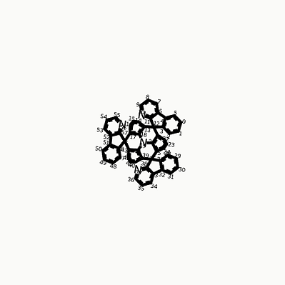 c1ccc2c(c1)-c1cccnc1C21c2cccc3c2N2c4c1cccc4C1(c4ccccc4-c4cccnc41)c1cccc(c12)C31c2ccccc2-c2cccnc21